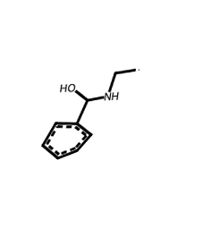 [CH2]CNC(O)c1ccccc1